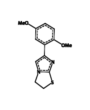 COc1ccc(OC)c(-c2cn3c(n2)SCC3)c1